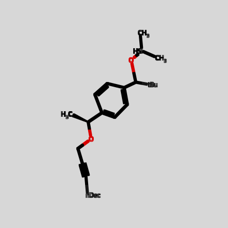 CCCCCCCCCCC#CCO[C@@H](C)c1ccc(C(O[SiH](C)C)C(C)(C)C)cc1